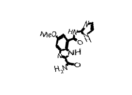 COc1cc(C(=O)Nc2ncc[nH]2)c2[nH]c(C(N)=O)nc2c1